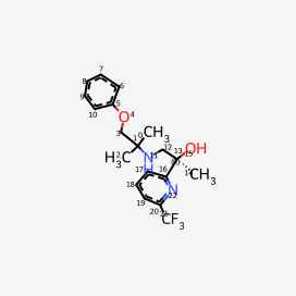 CC(C)(COc1ccccc1)NC[C@@](C)(O)c1cccc(C(F)(F)F)n1